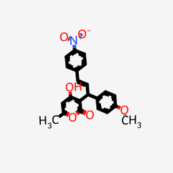 COc1ccc(C(/C=C/c2ccc([N+](=O)[O-])cc2)c2c(O)cc(C)oc2=O)cc1